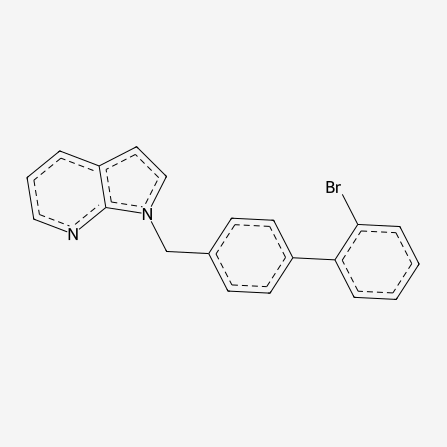 Brc1ccccc1-c1ccc(Cn2ccc3cccnc32)cc1